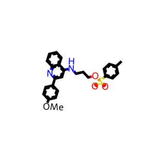 COc1ccc(-c2cc(NCCCOS(=O)(=O)c3ccc(C)cc3)c3ccccc3n2)cc1